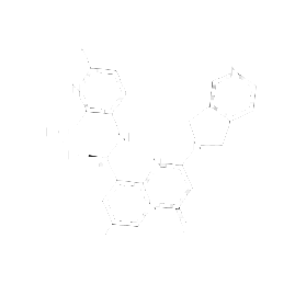 Cc1cc([C@@H](C)Nc2ccc(Cl)nc2C(=O)O)c2nc(N3Cc4ccncc4C3)cc(=O)n2c1